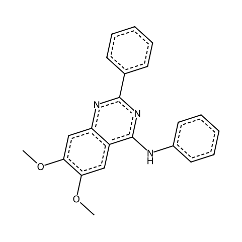 COc1cc2nc(-c3ccccc3)nc(Nc3ccccc3)c2cc1OC